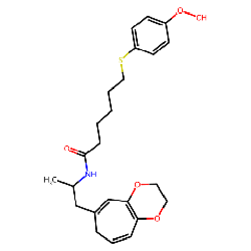 CC(CC1=CC2=C(C=CC1)OCCO2)NC(=O)CCCCCSc1ccc(OO)cc1